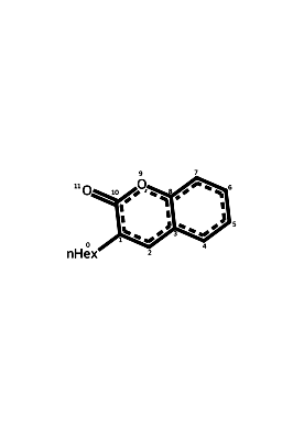 CCCCCCc1cc2ccccc2oc1=O